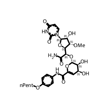 CCCCCOc1ccc(NC(=O)C2=C[C@H](O)[C@H](O)[C@@H](O[C@@H](C(N)=O)[C@H]3O[C@@H](n4ccc(=O)[nH]c4=O)[C@H](O)[C@@H]3OC)O2)cc1